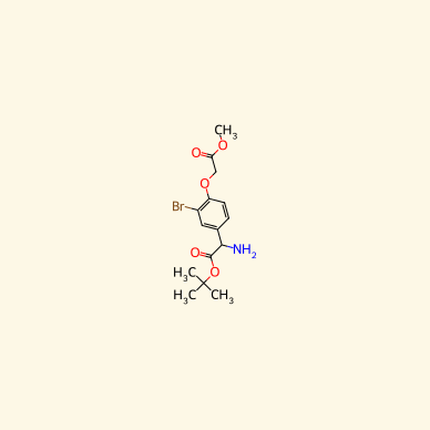 COC(=O)COc1ccc(C(N)C(=O)OC(C)(C)C)cc1Br